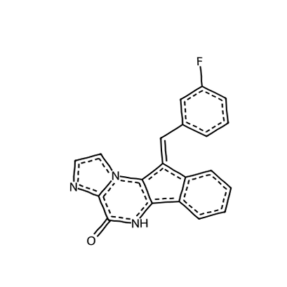 O=c1[nH]c2c3ccccc3c(=Cc3cccc(F)c3)c2n2ccnc12